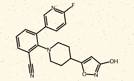 N#Cc1cccc(-c2ccc(F)nc2)c1N1CCC(c2cc(O)no2)CC1